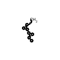 C=C/C=C\C=C\C1C=C(n2c3ccccc3c3cc(C4=CC5C6C=CC=CC6N(c6cccc(C7C=CC=CC7)c6)C5C=C4)ccc32)C=CC1